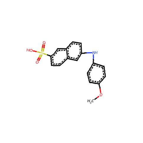 COc1ccc(Nc2ccc3cc(S(=O)(=O)O)ccc3c2)cc1